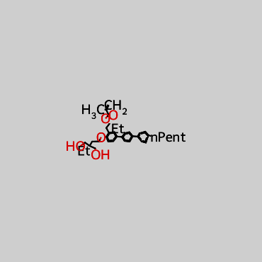 C=C(C)C(=O)OCCc1cc(-c2ccc(-c3ccc(CCCCC)cc3)cc2CC)ccc1OCCC(CC)(CO)CO